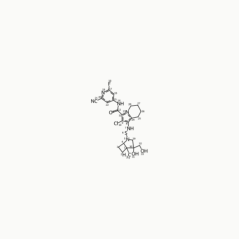 CC12CCC1N(SNc1c(Cl)c(C(=O)Nc3cc(F)nc(C#N)c3)n3c1CCCC3)CC2(O)CO